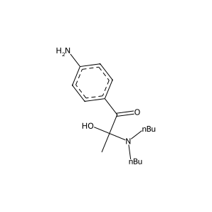 CCCCN(CCCC)C(C)(O)C(=O)c1ccc(N)cc1